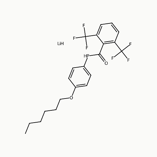 CCCCCCOc1ccc(PC(=O)c2c(C(F)(F)F)cccc2C(F)(F)F)cc1.[LiH]